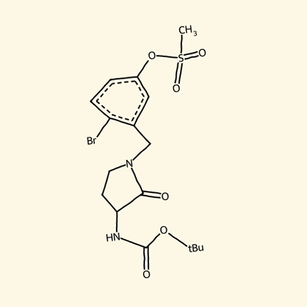 CC(C)(C)OC(=O)NC1CCN(Cc2cc(OS(C)(=O)=O)ccc2Br)C1=O